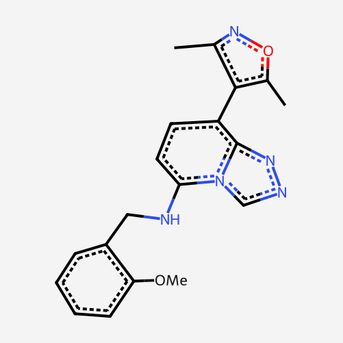 COc1ccccc1CNc1ccc(-c2c(C)noc2C)c2nncn12